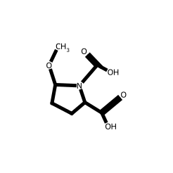 COC1CCC(C(=O)O)N1C(=O)O